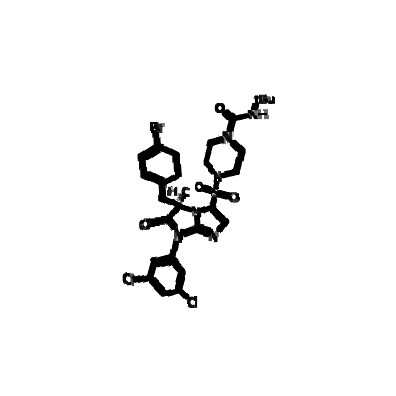 CC(C)(C)NC(=O)N1CCN(S(=O)(=O)c2cnc3n2[C@](C)(Cc2ccc(Br)cc2)C(=O)N3c2cc(Cl)cc(Cl)c2)CC1